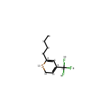 [CH2]CCCC1=CC(C(F)(F)F)=CCS1